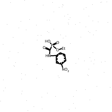 CCOP(=O)(O)C(=O)Nc1cccc([N+](=O)[O-])c1